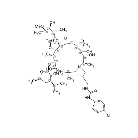 CC[C@H]1OC(=O)[C@H](C)[C@@H](O[C@H]2C[C@@](C)(OC)[C@@H](O)[C@H](C)O2)[C@H](C)[C@@H](O[C@@H]2O[C@H](C)C[C@H](N(C)C)[C@H]2O)[C@](C)(O)C[C@@H](C)CN(CCCNC(=S)Nc2ccc(Cl)cc2)[C@H](C)[C@@H](O)[C@]1(C)O